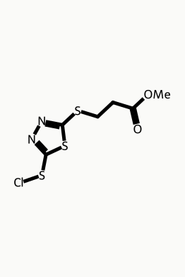 COC(=O)CCSc1nnc(SCl)s1